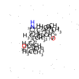 CC(C)(C)[C@@H](C1CCOCC1)C(C)(C)CCC(C)(C)[C@@H](C1CCNC1)C(C)(C)CCC(C)(C)[C@@H](C1CCOC1)C(C)(C)C